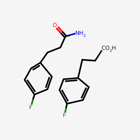 NC(=O)CCc1ccc(F)cc1.O=C(O)CCc1ccc(F)cc1